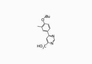 CCC(C)Oc1ccc(-c2cc(C(=O)O)ncn2)cc1C